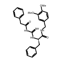 COc1ccc(CNC(=O)[C@@H](Cc2ccccc2)NC(=N)NC(=O)Cc2ccccc2)cc1OC